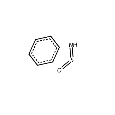 N=S=O.c1ccccc1